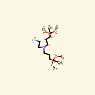 CCO[Si](C)(CCCN(CCN)CCC[Si](C)(OCC)OCC)OCC